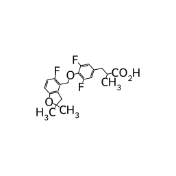 CC(Cc1cc(F)c(OCc2c(F)ccc3c2CC(C)(C)O3)c(F)c1)C(=O)O